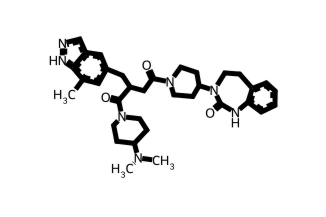 Cc1cc(CC(CC(=O)N2CCC(N3CCc4ccccc4NC3=O)CC2)C(=O)N2CCC(N(C)C)CC2)cc2cn[nH]c12